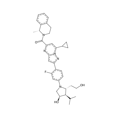 CC(C)[C@@H]1[C@@H](CCO)N(c2ccc(-c3cc4nc(C(=O)N5CCc6ccccc6[C@H]5C)cc(C5CC5)n4n3)c(F)c2)C[C@@H]1O